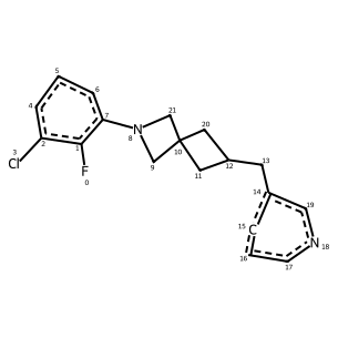 Fc1c(Cl)cccc1N1CC2(CC(Cc3cccnc3)C2)C1